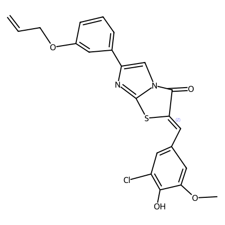 C=CCOc1cccc(-c2cn3c(=O)/c(=C/c4cc(Cl)c(O)c(OC)c4)sc3n2)c1